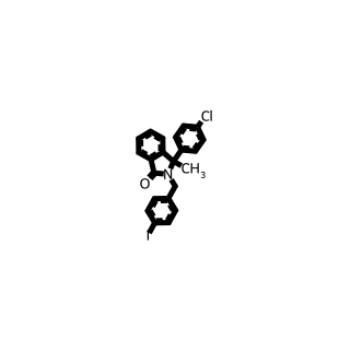 CC1(c2ccc(Cl)cc2)c2ccccc2C(=O)N1Cc1ccc(I)cc1